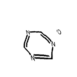 [O].c1ncncn1